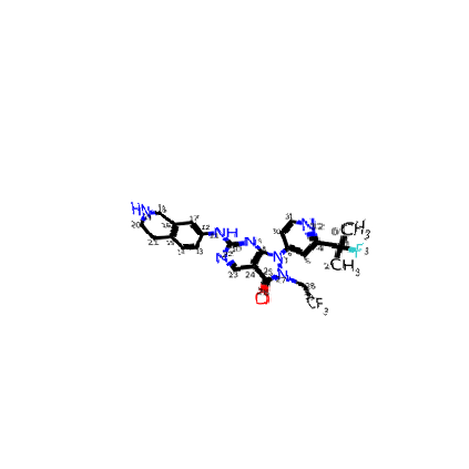 CC(C)(F)c1cc(-n2c3nc(Nc4ccc5c(c4)CNCC5)ncc3c(=O)n2CC(F)(F)F)ccn1